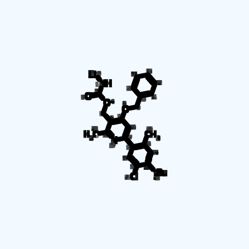 CCNC(=O)OCc1c(OCc2ccccc2)cc(-c2cc(Cl)c(C(C)(C)C)cc2C)nc1C